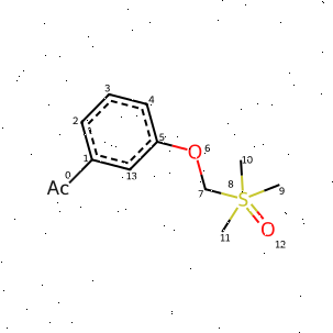 CC(=O)c1cccc(OCS(C)(C)(C)=O)c1